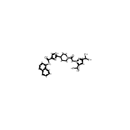 O=C(Oc1cccc2ccccc12)c1csc(C2CCN(C(=O)Cn3nc(C(F)F)cc3C(F)F)CC2)n1